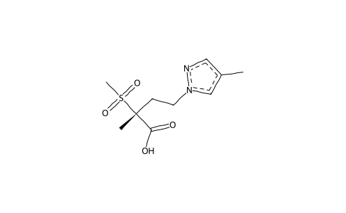 Cc1cnn(CC[C@](C)(C(=O)O)S(C)(=O)=O)c1